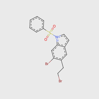 O=S(=O)(c1ccccc1)n1ccc2cc(CCBr)c(Br)cc21